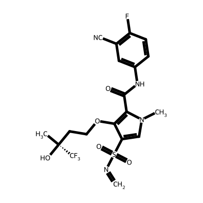 C=NS(=O)(=O)c1cn(C)c(C(=O)Nc2ccc(F)c(C#N)c2)c1OCC[C@](C)(O)C(F)(F)F